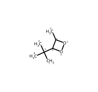 C[C]1OOC1C(C)(C)C